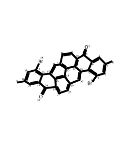 Cc1cc(Br)c2c(c1)c(=O)c1ccc3cc4c5c(Br)cc(C)cc5c(=O)c5ccc6cc2c1c3c6c54